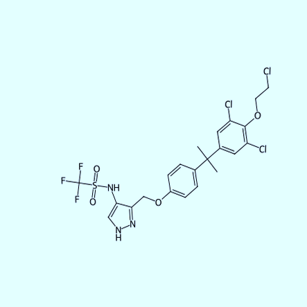 CC(C)(c1ccc(OCc2n[nH]cc2NS(=O)(=O)C(F)(F)F)cc1)c1cc(Cl)c(OCCCl)c(Cl)c1